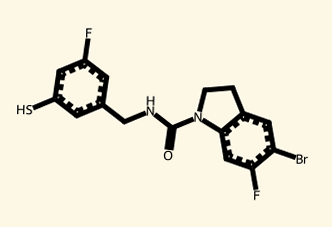 O=C(NCc1cc(F)cc(S)c1)N1CCc2cc(Br)c(F)cc21